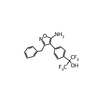 Nc1onc(Cc2ccccc2)c1-c1ccc(C(O)(C(F)(F)F)C(F)(F)F)cc1